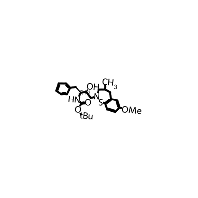 COc1ccc2c(c1)CC(C)CN(C[C@@H](O)[C@H](Cc1ccccc1)NC(=O)OC(C)(C)C)S2